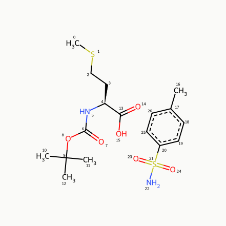 CSCC[C@H](NC(=O)OC(C)(C)C)C(=O)O.Cc1ccc(S(N)(=O)=O)cc1